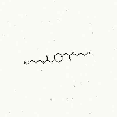 CCCCOC(=O)CN1CCN(CC(=O)OCCCC)CC1